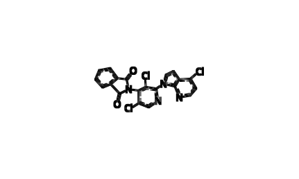 O=C1c2ccccc2C(=O)N1c1c(Cl)cnc(-n2ccc3c(Cl)ccnc32)c1Cl